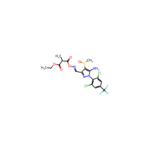 CCOC(=O)C(C)C(=O)ON=Cc1nn(-c2c(Cl)cc(C(F)(F)F)cc2Cl)c(N)c1[S+](C)[O-]